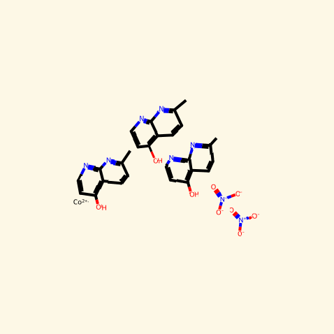 Cc1ccc2c(O)ccnc2n1.Cc1ccc2c(O)ccnc2n1.Cc1ccc2c(O)ccnc2n1.O=[N+]([O-])[O-].O=[N+]([O-])[O-].[Co+2]